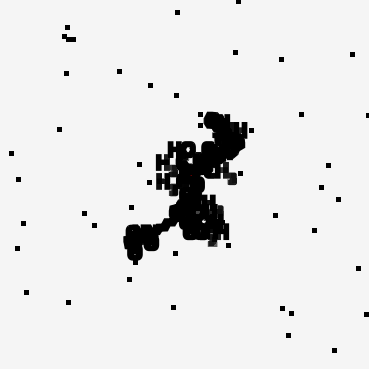 Cc1c(-c2ccc(N3CCc4cccc(C(=O)Nc5nc6ccccc6s5)c4C3)nc2C(=O)O)cnn1CC12CC3(C)CC(C)(C1)CC(OCCN(C)C(=O)OCc1ccc(CCCCCNC(=O)CCN4C(=O)C=CC4=O)cc1O[C@@H]1O[C@H](C(=O)O)[C@@H](O)[C@H](O)[C@H]1O)(C3)C2